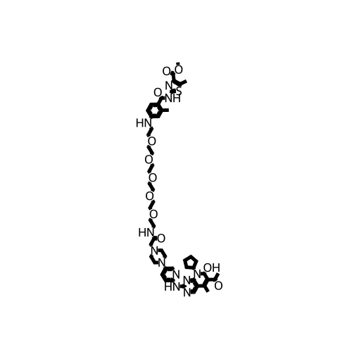 COC(=O)c1nc(NC(=O)c2ccc(NCCOCCOCCOCCOCCOCCNC(=O)CN3CCN(c4ccc(Nc5ncc6c(n5)N(C5CCCC5)C(O)C(C(C)=O)=C6C)nc4)CC3)cc2C)sc1C